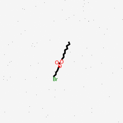 CCCCCCCCCOC(=O)OCCCCCBr